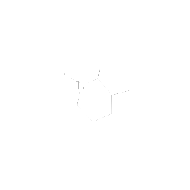 CC1CCCN(C(C)C)C1C